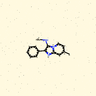 CCCCNc1c(-c2ccccc2)nc2cc(C)ccn12